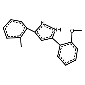 COc1ccccc1-c1cc(-c2ccccc2C)n[nH]1